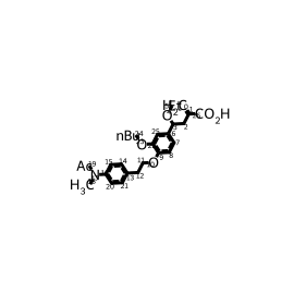 C=C(CC(OCC)c1ccc(OCCc2ccc(N(C)C(C)=O)cc2)c(OCCCC)c1)C(=O)O